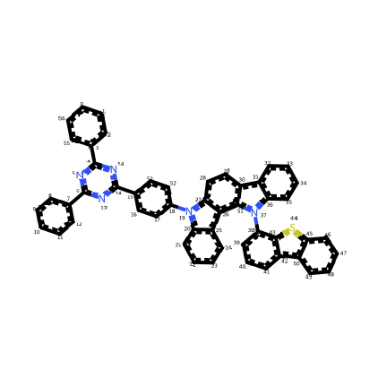 c1ccc(-c2nc(-c3ccccc3)nc(-c3ccc(-n4c5ccccc5c5c4ccc4c6ccccc6n(-c6cccc7c6sc6ccccc67)c45)cc3)n2)cc1